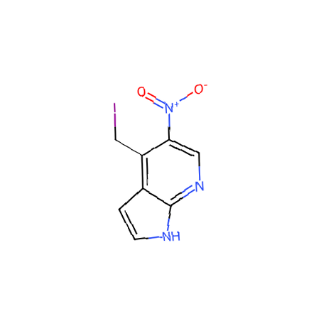 O=[N+]([O-])c1cnc2[nH]ccc2c1CI